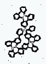 c1ccc([Si](c2cccc(-c3ccc4c(c3)-c3ccccc3N3B4c4ccccc4-c4ccccc43)c2)(c2ccc3c(c2)-c2ccccc2N2B3c3ccccc3-c3ccccc32)c2ccc3c(c2)-c2ccccc2B2c4ccccc4-c4ccccc4N23)cc1